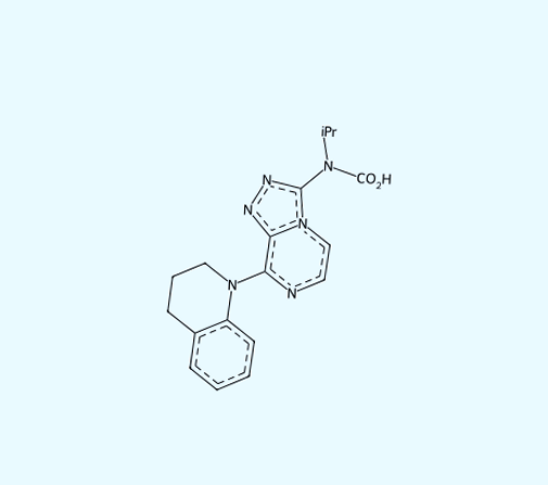 CC(C)N(C(=O)O)c1nnc2c(N3CCCc4ccccc43)nccn12